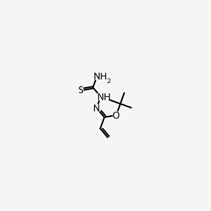 C=CC(=NNC(N)=S)OC(C)(C)C